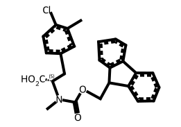 Cc1cc(C[C@@H](C(=O)O)N(C)C(=O)OCC2c3ccccc3-c3ccccc32)ccc1Cl